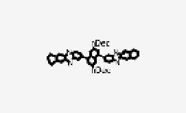 CCCCCCCCCCc1cc(-c2ccc3nc4cc5ccccc5cc4nc3c2)c2cc(CCCCCCCCCC)cc(-c3ccc4nc5cc6ccccc6cc5nc4c3)c2c1